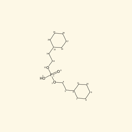 O=P(O)(OCCC1CCCCC1)OCCC1CCCCC1